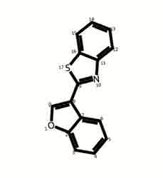 [c]1oc2ccccc2c1-c1nc2ccccc2s1